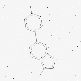 Fc1ccc(-c2cnn3c(Br)cnc3c2)cc1